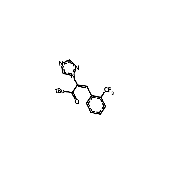 CC(C)(C)C(=O)/C(=C\c1ccccc1C(F)(F)F)n1cncn1